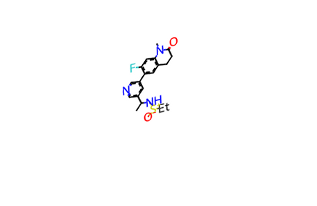 CC[S+]([O-])NC(C)c1cncc(-c2cc3c(cc2F)N(C)C(=O)CC3)c1